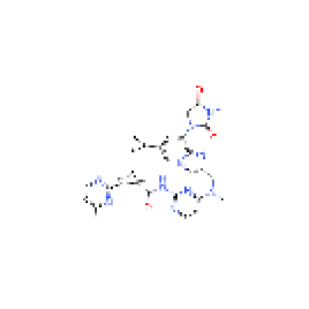 Cc1ccnc([C@H]2C[C@@H]2C(=O)Nc2nccc(N(C)Cc3cn4cc(C5CC5)cc(N5CC(=O)N(C)C5=O)c4n3)n2)n1